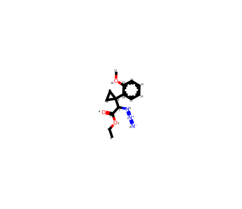 CCOC(=O)C(N=[N+]=[N-])C1(c2ccccc2OC)CC1